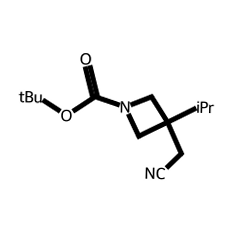 CC(C)C1(CC#N)CN(C(=O)OC(C)(C)C)C1